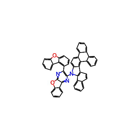 c1ccc2c(c1)ccc1c3c4c5ccccc5c5ccccc5c4ccc3n(-c3nc4c(nc3-c3cccc5oc6ccccc6c35)oc3ccccc34)c21